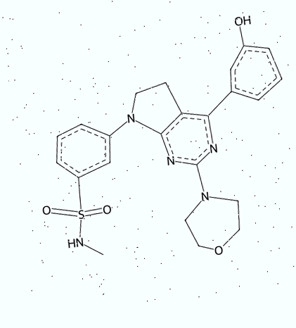 CNS(=O)(=O)c1cccc(N2CCc3c(-c4cccc(O)c4)nc(N4CCOCC4)nc32)c1